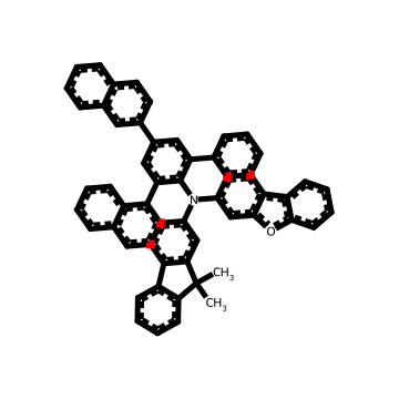 CC1(C)c2ccccc2-c2ccc(N(c3ccc4c(c3)oc3ccccc34)c3c(-c4ccccc4)cc(-c4ccc5ccccc5c4)cc3-c3cccc4ccccc34)cc21